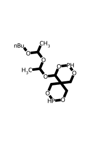 CCCCOC(C)OC(C)OC1OPOCC12COPOC2